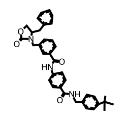 CC(C)(C)c1ccc(CNC(=O)c2ccc(NC(=O)c3cccc(CN4C(=O)OCC4Cc4ccccc4)c3)cc2)cc1